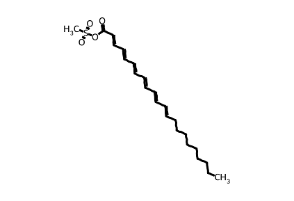 CCCCCCCCCC=CC=CC=CC=CC=CC=CC(=O)OS(C)(=O)=O